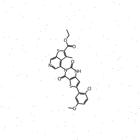 CCOC(=O)c1sc2cncc(-n3c(=O)[nH]c4cc(-c5cc(OC)ccc5Cl)sc4c3=O)c2c1C